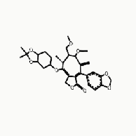 C=C1/C(c2ccc3c(c2)OCO3)=C2/C(=O)OC/C2=C(\OC2CCC3OC(C)(C)OC3C2)[C@@H](C)C(COC)C1OC